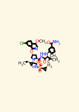 C=C[C@@H]1C[C@@]1(C(=O)NS(=O)(=O)C1CC1)N1C[C@H](Oc2ncc(OC)c3ccc(Cl)cc23)C[C@H]1C(=O)NC(=O)[C@H](Nc1cccc(C(N)=O)c1)C(C)(C)C